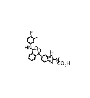 Cc1cc(NC(=O)c2ccccc2C(=O)c2ccc3nc(N(C)C(=O)O)[nH]c3c2)ccc1F